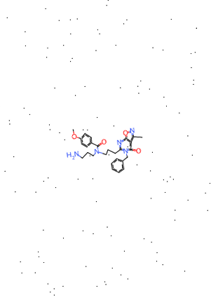 COc1ccc(C(=O)N(CCCN)CCCc2nc3onc(C)c3c(=O)n2Cc2ccccc2)cc1